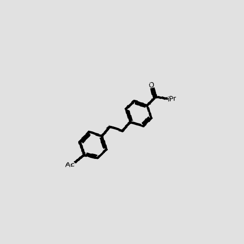 CC(=O)c1ccc(CCc2ccc(C(=O)C(C)C)cc2)cc1